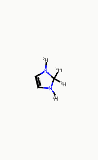 [2H]N1C=CN([2H])C1([2H])[2H]